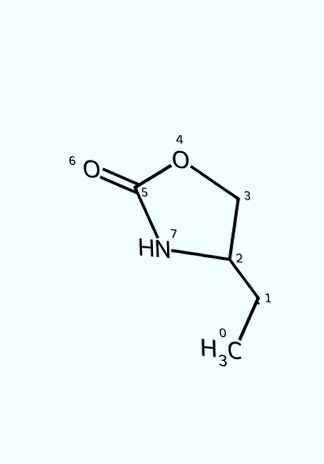 C[CH]C1COC(=O)N1